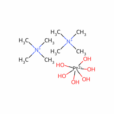 C[N+](C)(C)C.C[N+](C)(C)C.[OH][Pt-2]([OH])([OH])([OH])([OH])[OH]